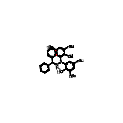 CCCCc1cc(CCCC)c(O)c(P([SiH2]C(c2ccccc2)c2ccccc2)c2cc(CCCC)cc(CCCC)c2O)c1